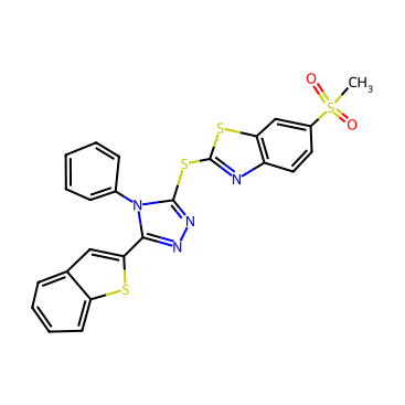 CS(=O)(=O)c1ccc2nc(Sc3nnc(-c4cc5ccccc5s4)n3-c3ccccc3)sc2c1